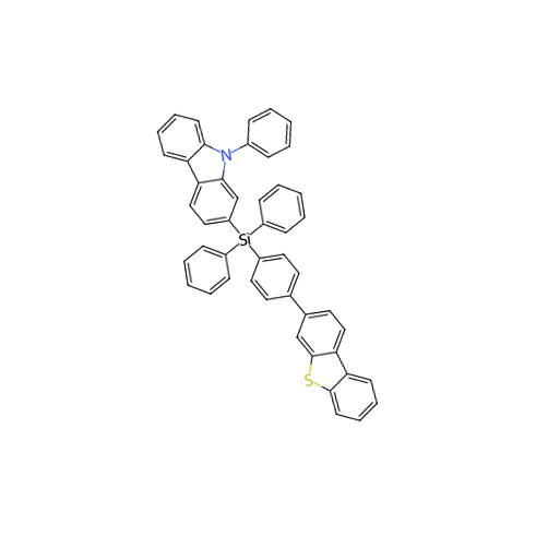 c1ccc(-n2c3ccccc3c3ccc([Si](c4ccccc4)(c4ccccc4)c4ccc(-c5ccc6c(c5)sc5ccccc56)cc4)cc32)cc1